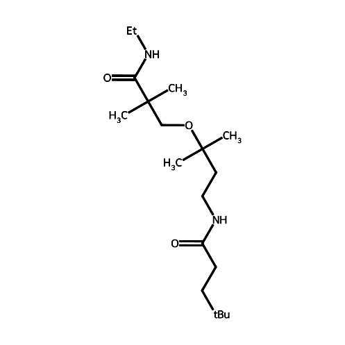 CCNC(=O)C(C)(C)COC(C)(C)CCNC(=O)CCC(C)(C)C